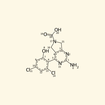 Nc1nc2c(c(-c3c(O)cc(Cl)cc3Cl)n1)CN(C(=O)O)C2